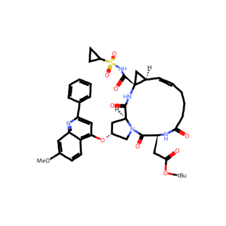 COc1ccc2c(O[C@@H]3C[C@H]4C(=O)N[C@]5(C(=O)NS(=O)(=O)C6CC6)C[C@H]5/C=C\CCCC(=O)N[C@@H](CC(=O)OC(C)(C)C)C(=O)N4C3)cc(-c3ccccc3)nc2c1